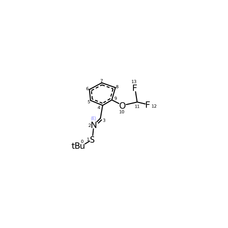 CC(C)(C)S/N=C/c1ccccc1OC(F)F